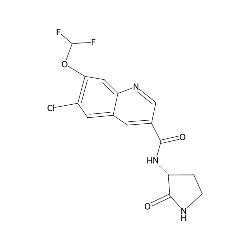 O=C(N[C@@H]1CCNC1=O)c1cnc2cc(OC(F)F)c(Cl)cc2c1